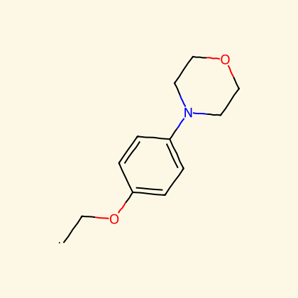 [CH2]COc1ccc(N2CCOCC2)cc1